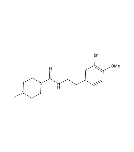 COc1ccc(CCNC(=O)N2CCN(C)CC2)cc1Br